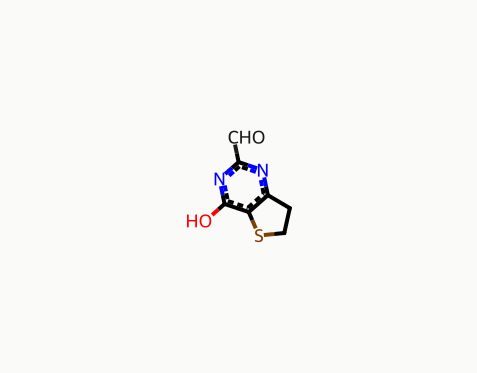 O=Cc1nc(O)c2c(n1)CCS2